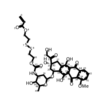 C=CC(=O)OCCSSCCOC(=O)NC1CC(OC2C[C@@](O)(C(=O)CO)Cc3c(O)c4c(c(O)c32)C(=O)c2c(OC)cccc2C4=O)OC(C)C1O